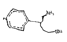 CC(C)(C)CC(N)c1ccncc1